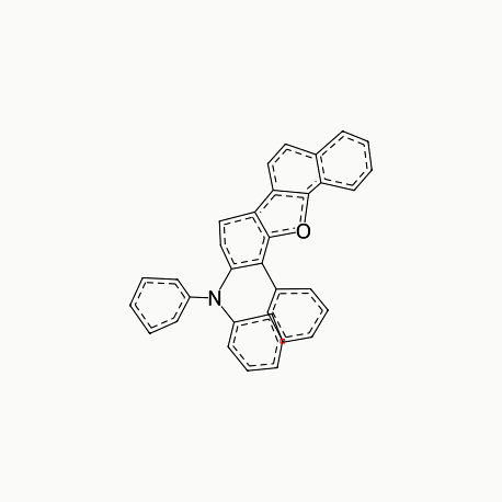 c1ccc(-c2c(N(c3ccccc3)c3ccccc3)ccc3c2oc2c4ccccc4ccc32)cc1